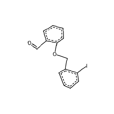 O=Cc1ccccc1OCc1ccccc1I